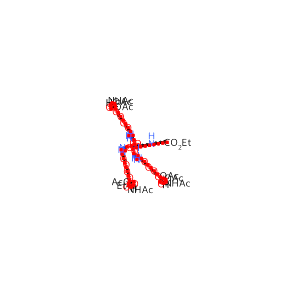 CCOC(=O)CCCCCCNCCCCCC(=O)NC(COCc1cn(CCOCCOCCOCCOC[C@@]23CO[C@@H](O2)[C@H](NC(C)=O)[C@@H](OCC)[C@H]3OC(C)=O)nn1)(COCc1cn(CCOCCOCCOCCOC[C@@]23CO[C@@H](O2)[C@H](NC(C)=O)[C@@H](OC(C)=O)[C@H]3OC(C)=O)nn1)COCc1cn(CCOCCOCCOCCOC[C@@]23CO[C@@H](O2)[C@H](NC(C)=O)[C@@H](OC(C)=O)[C@H]3OC(C)=O)nn1